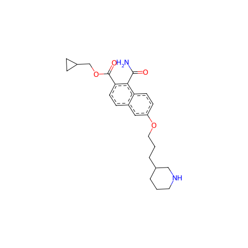 NC(=O)c1c(C(=O)OCC2CC2)ccc2cc(OCCCC3CCCNC3)ccc12